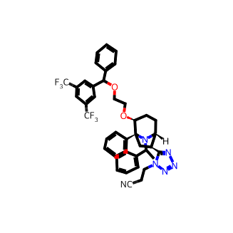 CC(c1ccccc1)N1[C@@H]2CC[C@H](OCCOC(c3ccccc3)c3cc(C(F)(F)F)cc(C(F)(F)F)c3)[C@@]1(c1ccccc1)C[C@@H]2c1nnnn1CCC#N